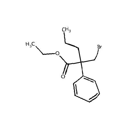 CCCC(CBr)(C(=O)OCC)c1ccccc1